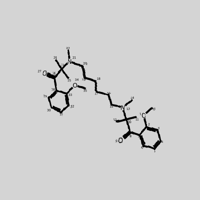 COc1ccccc1C(=O)C(C)(C)N(C)CCCCCCN(C)C(C)(C)C(=O)c1ccccc1OC